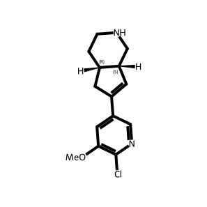 COc1cc(C2=C[C@H]3CNCC[C@H]3C2)cnc1Cl